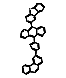 c1ccc2c(c1)ccc1ccc(-c3ccc(-c4c5ccccc5c(-c5ccc6oc7ccccc7c6c5)c5ccccc45)cc3)cc12